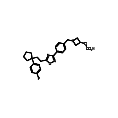 O=C(O)OC1CN(Cc2ccc(-c3noc(CCC4(c5ccc(F)cc5)CCCC4)n3)cc2)C1